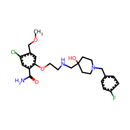 COCc1cc(OCCNCC2(O)CCN(Cc3ccc(F)cc3)CC2)c(C(N)=O)cc1Cl